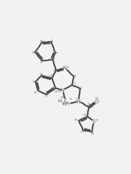 CCCN(CC1CN=C(c2ccccc2)c2ccccc2N1C)C(=O)c1cccs1